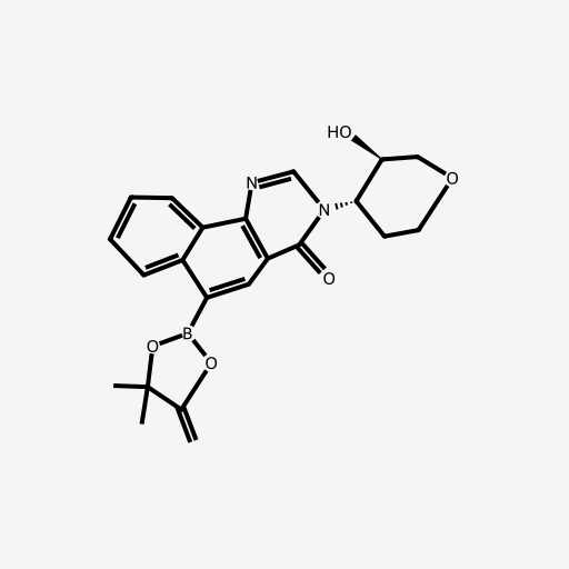 C=C1OB(c2cc3c(=O)n([C@H]4CCOC[C@@H]4O)cnc3c3ccccc23)OC1(C)C